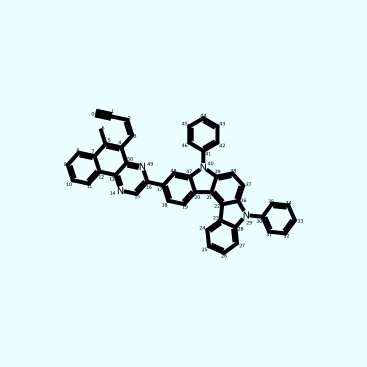 C#C/C=C\c1c(C)c2ccccc2c2ncc(-c3ccc4c5c6c7ccccc7n(-c7ccccc7)c6ccc5n(-c5ccccc5)c4c3)nc12